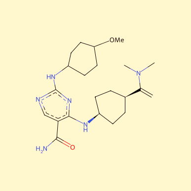 C=C([C@H]1CC[C@@H](Nc2nc(NC3CCC(OC)CC3)ncc2C(N)=O)CC1)N(C)C